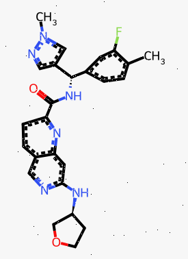 Cc1ccc([C@H](NC(=O)c2ccc3cnc(N[C@H]4CCOC4)cc3n2)c2cnn(C)c2)cc1F